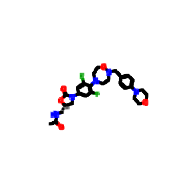 CC(=O)NC[C@H]1CN(c2cc(F)c(N3CCON(Cc4ccc(N5CCOCC5)cc4)CC3)c(F)c2)C(=O)O1